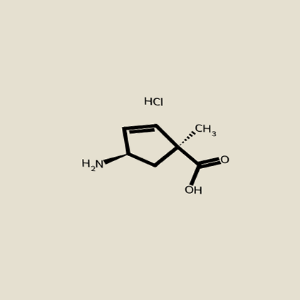 C[C@@]1(C(=O)O)C=C[C@H](N)C1.Cl